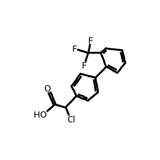 O=C(O)C(Cl)c1ccc(-c2ccccc2C(F)(F)F)cc1